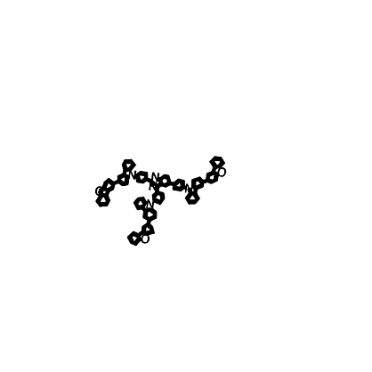 c1cc(-c2nc(-c3ccc(-n4c5ccccc5c5cc(-c6ccc7oc8ccccc8c7c6)ccc54)cc3)nc3ccc(-c4ccc(-n5c6ccccc6c6cc(-c7ccc8oc9ccccc9c8c7)ccc65)cc4)cc23)cc(-n2c3ccccc3c3cc(-c4ccc5oc6ccccc6c5c4)ccc32)c1